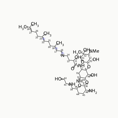 CNC1[C@H](O)C(OC2C(NC(=O)C(O)CC/N=C/C=C(\C)CC/C=C(\C)CCC=C(C)C)CC(N)C(OC3OC(CNCCO)CCC3N)C2O)OCC1(C)O